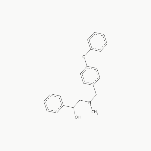 CN(Cc1ccc(Oc2ccccc2)cc1)C[C@H](O)c1ccccc1